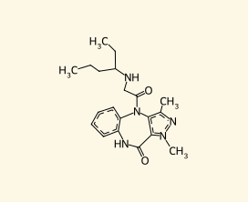 CCCC(CC)NCC(=O)N1c2ccccc2NC(=O)c2c1c(C)nn2C